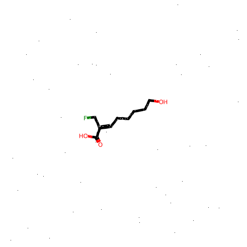 O=C(O)C(=CCCCCCO)CF